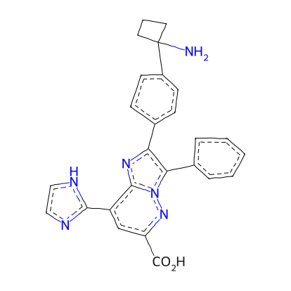 NC1(c2ccc(-c3nc4c(-c5ncc[nH]5)cc(C(=O)O)nn4c3-c3ccccc3)cc2)CCC1